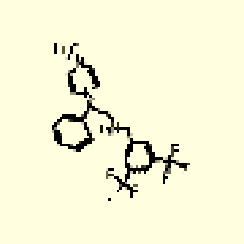 CN1C=CN(C(CNCc2cc(C(F)(F)F)cc(C(F)(F)F)c2)c2ccccc2)C=C1